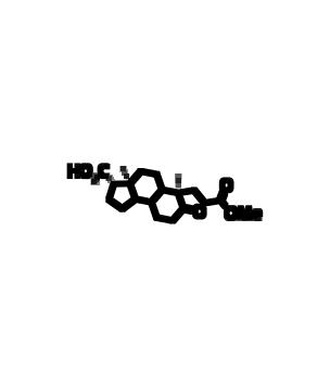 COC(=O)CC[C@@]1(C)C(=O)CCC2C1CC[C@@]1(C)C2CC[C@@H]1C(=O)O